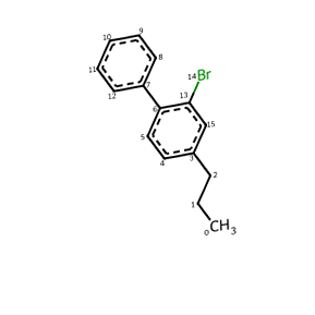 CCCc1ccc(-c2ccccc2)c(Br)c1